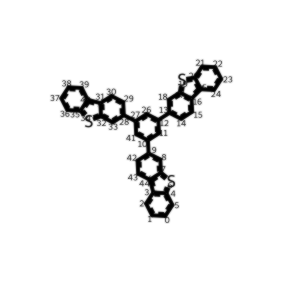 c1ccc2c(c1)sc1cc(-c3cc(-c4ccc5c(c4)sc4ccccc45)cc(-c4ccc5c(c4)sc4ccccc45)c3)ccc12